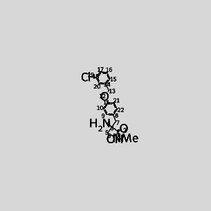 CNC(=O)C(N)(CO)Cc1ccc(OCc2cccc(Cl)c2)cc1